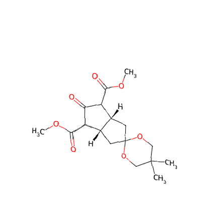 COC(=O)C1C(=O)C(C(=O)OC)[C@@H]2CC3(C[C@H]12)OCC(C)(C)CO3